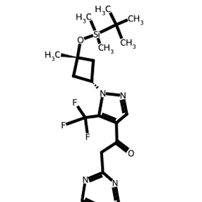 CC(C)(C)[Si](C)(C)O[C@]1(C)C[C@H](n2ncc(C(=O)Cc3ncccn3)c2C(F)(F)F)C1